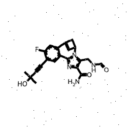 CC(C)(O)C#Cc1cc2c(cc1F)C1=CC(C1)n1c-2nc(C(N)=O)c1CNC=O